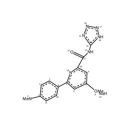 CNc1ccc(-c2cc(OC)cc(C(=O)Nc3nnn[nH]3)n2)cc1.[NaH]